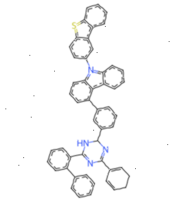 C1=CC(C2=NC(c3cccc(-c4cccc5c4c4ccccc4n5-c4ccc5sc6ccccc6c5c4)c3)NC(c3ccccc3-c3ccccc3)=N2)=CCC1